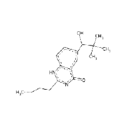 CCCCc1nc(=O)c2cc(C(O)C(C)(C)C)ccc2[nH]1